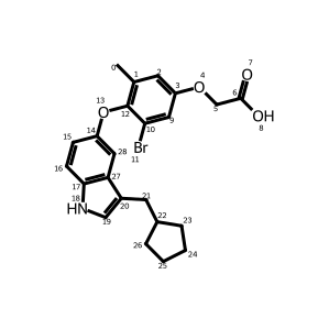 Cc1cc(OCC(=O)O)cc(Br)c1Oc1ccc2[nH]cc(CC3CCCC3)c2c1